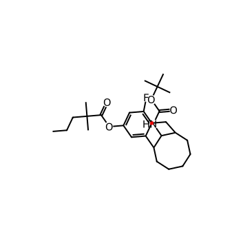 CCCC(C)(C)C(=O)Oc1cc(F)c2c(c1)C1CCCCCC(C2)C1NC(=O)OC(C)(C)C